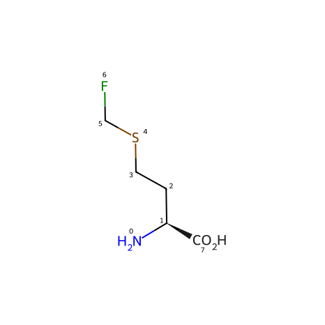 N[C@@H](CCSCF)C(=O)O